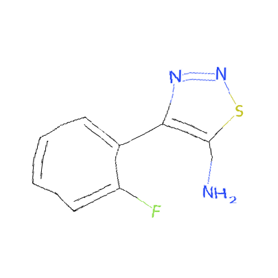 Nc1snnc1-c1ccccc1F